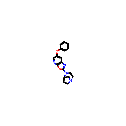 c1ccc(Oc2cnc3oc(N4CC[N@@]5CCC4C5)nc3c2)cc1